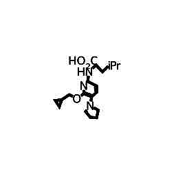 CC(C)CC(Nc1ccc(N2CCCC2)c(OCC2CC2)n1)C(=O)O